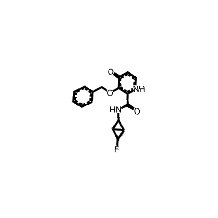 O=C(NC1C2C(F)C12)c1[nH]ccc(=O)c1OCc1ccccc1